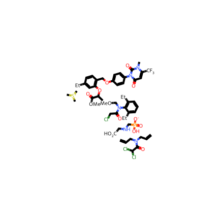 C=CCN(CC=C)C(=O)C(Cl)Cl.CCc1ccc(COc2ccc(-n3c(=O)cc(C(F)(F)F)n(C)c3=O)cc2)c(OC(C)C(=O)OC)c1.CCc1cccc(CC)c1N(COC)C(=O)CCl.C[S+](C)C.O=C(O)CNCP(=O)([O-])O